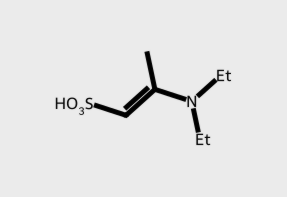 CCN(CC)C(C)=CS(=O)(=O)O